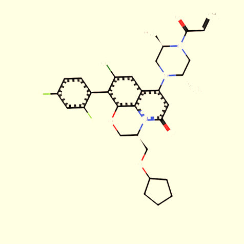 C=CC(=O)N1C[C@H](C)N(c2cc(=O)n3c4c(c(-c5ccc(F)cc5F)c(Cl)cc24)OC[C@@H]3COC2CCCC2)C[C@H]1C